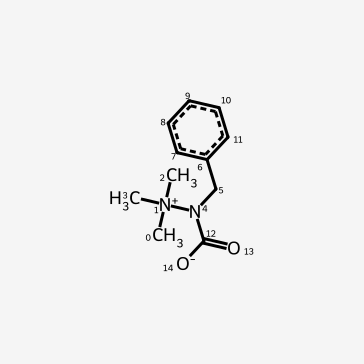 C[N+](C)(C)N(Cc1ccccc1)C(=O)[O-]